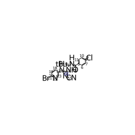 CC(C)(C)C(NC(=O)c1ccc(Cl)cc1)N/C(=N\C#N)Nc1ccc(Br)nc1